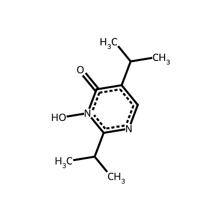 CC(C)c1cnc(C(C)C)n(O)c1=O